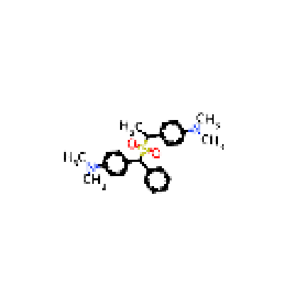 CC(c1ccc(N(C)C)cc1)S(=O)(=O)C(c1ccccc1)c1ccc(N(C)C)cc1